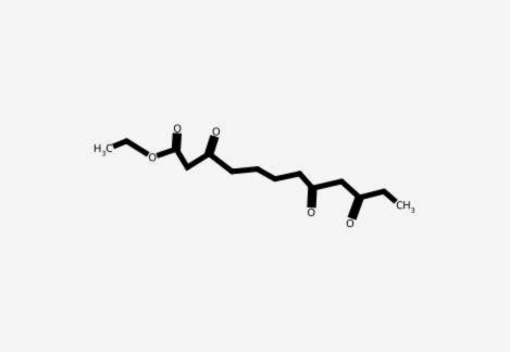 CCOC(=O)CC(=O)CCCCC(=O)CC(=O)CC